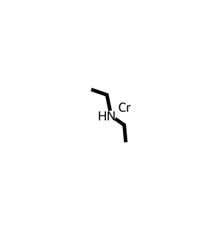 CCNCC.[Cr]